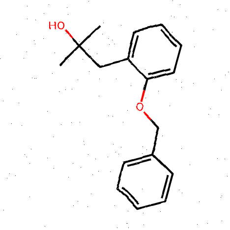 CC(C)(O)Cc1ccccc1OCc1ccccc1